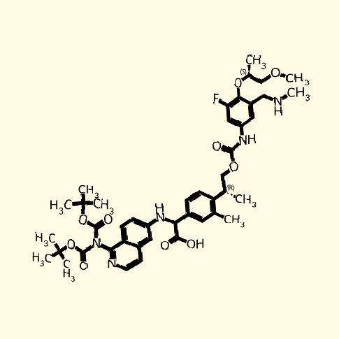 CNCc1cc(NC(=O)OC[C@H](C)c2ccc(C(Nc3ccc4c(N(C(=O)OC(C)(C)C)C(=O)OC(C)(C)C)nccc4c3)C(=O)O)cc2C)cc(F)c1O[C@@H](C)COC